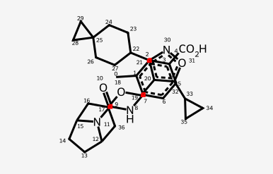 Cc1cc(C(=O)O)ccc1NC(=O)N1C2CCC1CC(OCc1c(C3CCC4(CC3)CC4)noc1C1CC1)C2